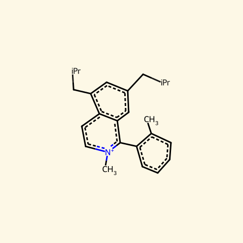 Cc1ccccc1-c1c2cc(CC(C)C)cc(CC(C)C)c2cc[n+]1C